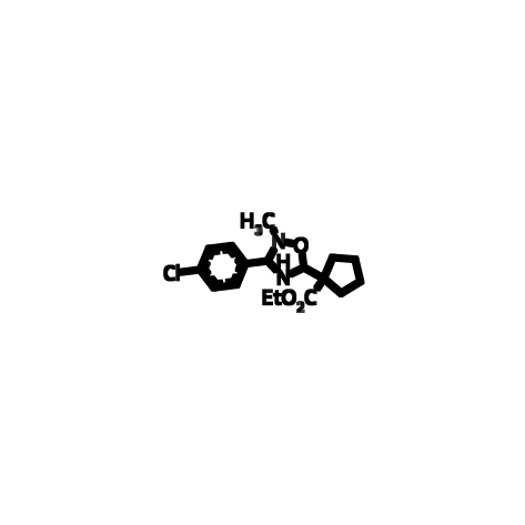 CCOC(=O)C1(C2NC(c3ccc(Cl)cc3)N(C)O2)CCCC1